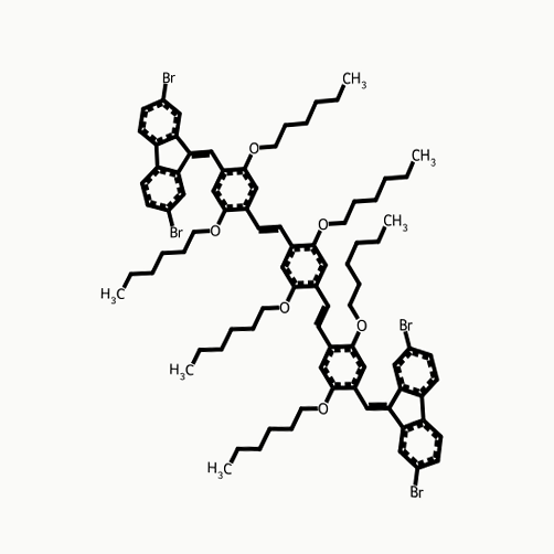 CCCCCCOc1cc(C=Cc2cc(OCCCCCC)c(C=C3c4cc(Br)ccc4-c4ccc(Br)cc43)cc2OCCCCCC)c(OCCCCCC)cc1C=Cc1cc(OCCCCCC)c(C=C2c3cc(Br)ccc3-c3ccc(Br)cc32)cc1OCCCCCC